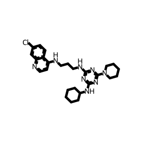 Clc1ccc2c(NCCCNc3nc(NC4CCCCC4)nc(N4CCCCC4)n3)ccnc2c1